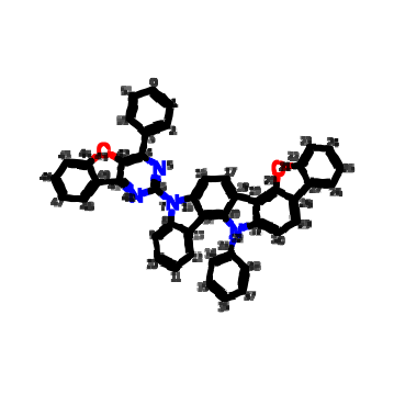 c1ccc(-c2nc(-n3c4ccccc4c4c3ccc3c5c6oc7ccccc7c6ccc5n(-c5ccccc5)c34)nc3c2oc2ccccc23)cc1